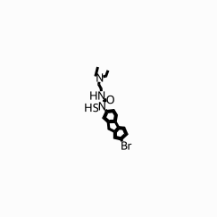 CCN(CC)CCNC(=O)N(S)c1ccc2c(c1)Cc1cc(Br)ccc1-2